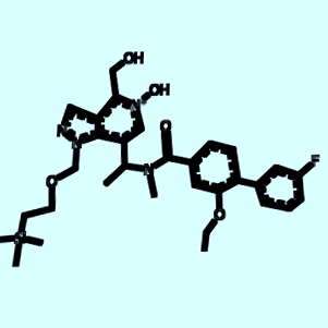 CCOc1cc(C(=O)N(C)C(C)c2c[n+](O)c(CO)c3cnn(COCC[Si](C)(C)C)c23)ccc1-c1cccc(F)c1